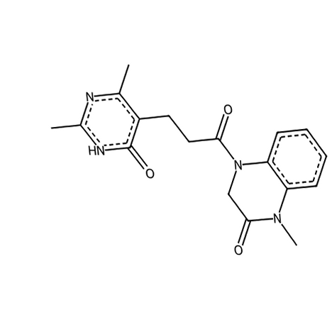 Cc1nc(C)c(CCC(=O)N2CC(=O)N(C)c3ccccc32)c(=O)[nH]1